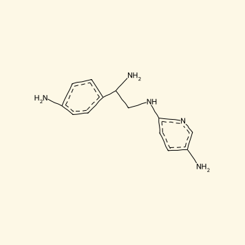 Nc1ccc(C(N)CNc2ccc(N)cn2)cc1